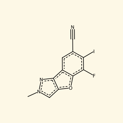 Cn1cc2oc3c(F)c(I)c(C#N)cc3c2n1